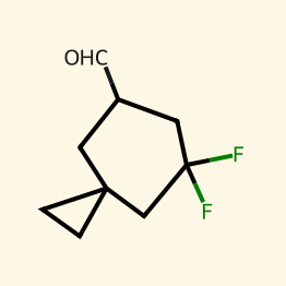 O=CC1CC(F)(F)CC2(CC2)C1